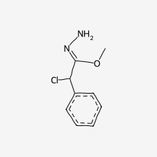 COC(=NN)C(Cl)c1ccccc1